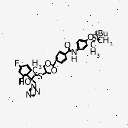 C[C@@H](SC1COC(c2ccc(C(=O)Nc3ccc(O[Si](C)(C)C(C)(C)C)cc3)cc2)OC1)[C@](O)(Cn1cncn1)c1ccc(F)cc1F